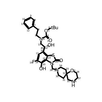 CC(C)(C)OC(=O)N(CCc1ccccc1)C[C@H](O)c1cc(F)c(O)c2c1sc(=O)n2CN1CCC2(CC1)CNCCO2